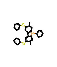 Cc1cc2c(cc1Sc1ccccc1)c1cc(Sc3ccccc3)c(C)cc1p2-c1ccccc1